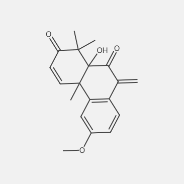 C=C1C(=O)C2(O)C(C)(C)C(=O)C=CC2(C)c2cc(OC)ccc21